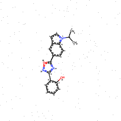 CC(C)n1ccc2cc(-c3nc(-c4ccccc4O)no3)ccc21